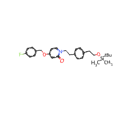 CC(C)(C)[Si](C)(C)OCCc1ccc(CCn2ccc(OCc3ccc(F)cc3)cc2=O)cc1